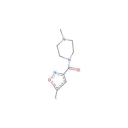 [CH2]c1cc(C(=O)N2CCN(C)CC2)no1